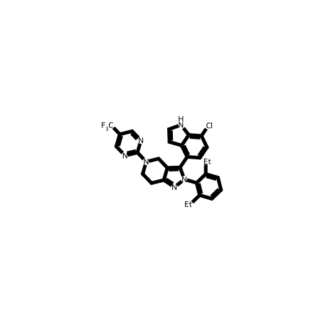 CCc1cccc(CC)c1-n1nc2c(c1-c1ccc(Cl)c3[nH]ccc13)CN(c1ncc(C(F)(F)F)cn1)CC2